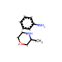 CC1COCCN1.Nc1ccccc1